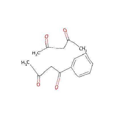 CC(=O)CC(=O)c1ccccc1.CC(=O)CC(C)=O